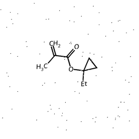 C=C(C)C(=O)OC1(CC)CC1